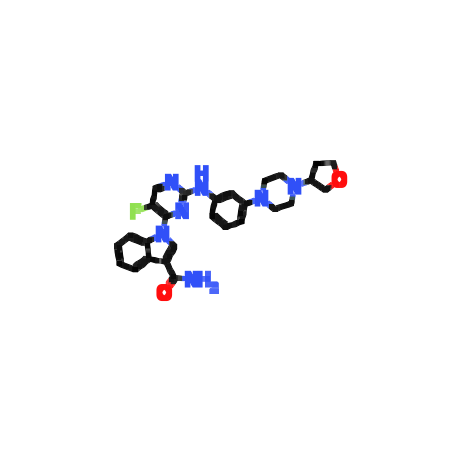 NC(=O)c1cn(-c2nc(Nc3cccc(N4CCN(C5CCOC5)CC4)c3)ncc2F)c2ccccc12